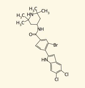 CC1(C)CC(NC(=O)c2ccc(-c3cc4cc(Cl)c(Cl)cc4[nH]3)c(Br)c2)CC(C)(C)N1